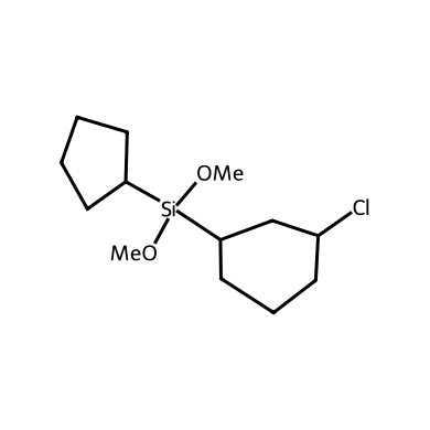 CO[Si](OC)(C1CCCC1)C1CCCC(Cl)C1